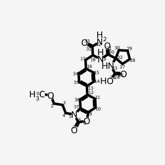 COCCCn1c(=O)oc2ccc(-c3ccc(CC(NC(=O)C4(NC(=O)O)CCCC4)C(N)=O)cc3)cc21